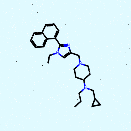 CCCN(CC1CC1)C1CCN(Cc2cn(CC)c(-c3cccc4ccccc34)n2)CC1